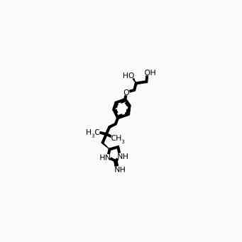 CC(C)(CCc1ccc(OC[C@@H](O)CO)cc1)C[C@H]1CNC(=N)N1